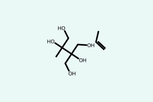 C=CC.CC(O)(CO)C(O)(CO)CO